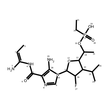 C/C=C(/N)NC(=O)c1ncn(C2OC(C(C)OP(=O)(O)CC)C(C(C)C)C2F)c1N